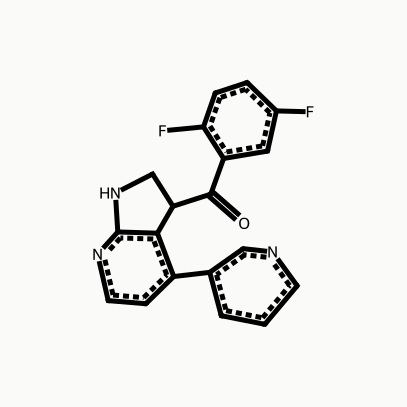 O=C(c1cc(F)ccc1F)C1CNc2nccc(-c3cccnc3)c21